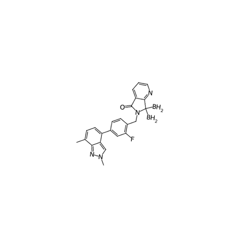 BC1(B)c2ncccc2C(=O)N1Cc1ccc(-c2ccc(C)c3nn(C)cc23)cc1F